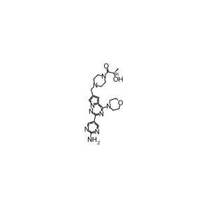 C[C@@H](O)C(=O)N1CCN(Cc2cc3c(N4CCOCC4)nc(-c4cnc(N)nc4)nn3c2)CC1